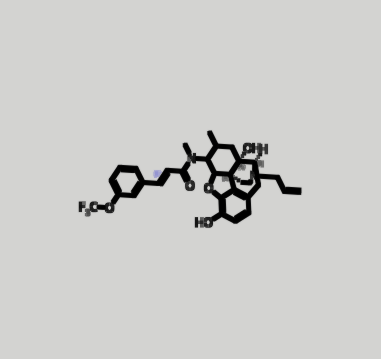 C=CCN1CC[C@]23c4c5ccc(O)c4OC2C(N(C)C(=O)/C=C/c2cccc(OC(F)(F)F)c2)C(C)C[C@@]3(O)[C@H]1C5